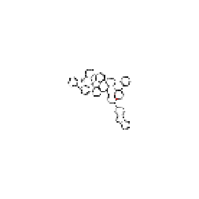 c1ccc(-c2ccccc2-c2ccccc2N(c2ccc(-c3ccc4c(c3)sc3ccccc34)cc2)c2cccc3c2-c2ccccc2C32c3ccccc3-n3c4ccccc4c4cccc2c43)cc1